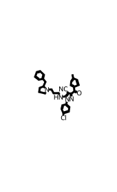 Cc1ccc(C(=O)c2nn(-c3ccc(Cl)cc3)c(NCCCN3CCCC3Cc3ccccc3)c2C#N)cc1